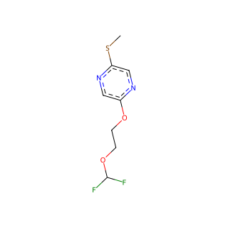 CSc1cnc(OCCOC(F)F)cn1